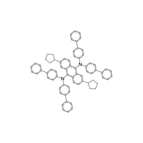 c1ccc(-c2ccc(N(c3ccc(-c4ccccc4)cc3)c3c4ccc(C5CCCC5)cc4c(N(c4ccc(-c5ccccc5)cc4)c4ccc(-c5ccccc5)cc4)c4ccc(C5CCCC5)cc34)cc2)cc1